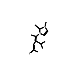 C/C(F)=C\C(=C(/C)N1C=CN(C)C1C)C(C)C